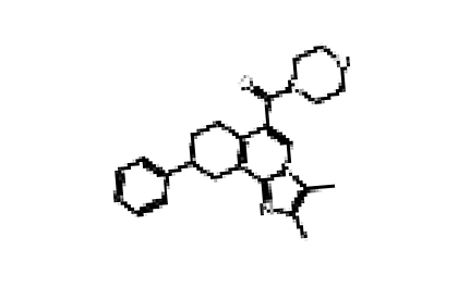 Cc1nc2c3c(c(C(=O)N4CCOCC4)cn2c1C)CCC(c1ccccc1)C3